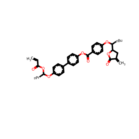 C=CC(=O)OC(CCC)Oc1ccc(-c2ccc(OC(=O)c3ccc(OC(CCCC)C4CC(=C)C(=O)O4)cc3)cc2)cc1